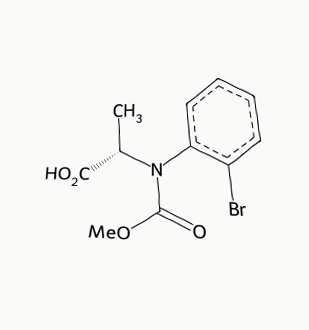 COC(=O)N(c1ccccc1Br)[C@@H](C)C(=O)O